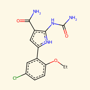 CCOc1ccc(Cl)cc1-c1cc(C(N)=O)c(NC(N)=O)[nH]1